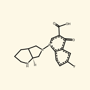 O=C(O)c1cn(N2CC3CCCN[C@@H]3C2)c2ccc(F)cc2c1=O